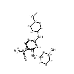 CO[C@H]1CC[C@H](Nc2ncc(C(N)=O)c(N[C@H]3CCC[C@@H](O)C3)n2)CC1